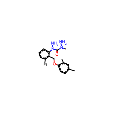 CCc1cccc(N(N)C(=O)N(C)N)c1COc1ccc(C)cc1C